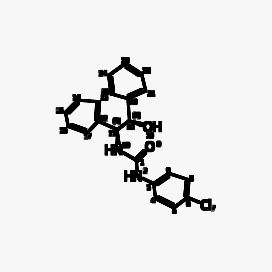 O=C(Nc1ccc(Cl)cc1)N[C@@H](c1ccccc1)[C@H](O)c1ccccc1